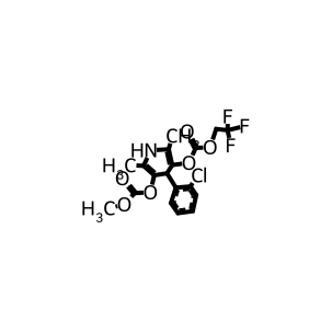 COC(=O)OC1=C(C)NC(C)=C(OC(=O)OCC(F)(F)F)C1c1ccccc1Cl